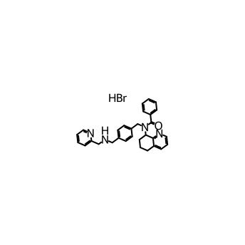 Br.O=C(c1ccccc1)N(Cc1ccc(CNCc2ccccn2)cc1)C1CCCc2cccnc21